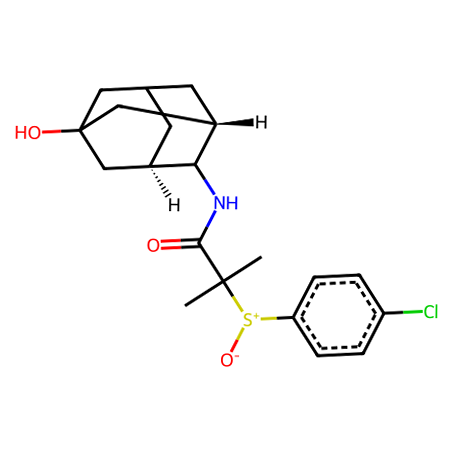 CC(C)(C(=O)NC1[C@@H]2CC3C[C@H]1CC(O)(C3)C2)[S+]([O-])c1ccc(Cl)cc1